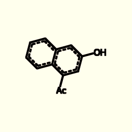 CC(=O)c1cc(O)cc2ccccc12